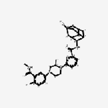 CNC(=O)c1cc(N2CCN(c3cccc(C(=O)NC4C5CC6CC4CC(O)(C6)C5)n3)C(C)C2)ccc1F